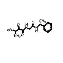 CCCC(N)C(=O)C(=O)NCC(=O)N[C@H](C)c1ccccc1